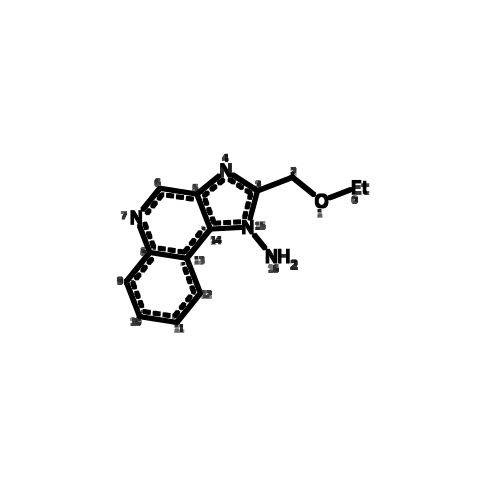 CCOCc1nc2cnc3ccccc3c2n1N